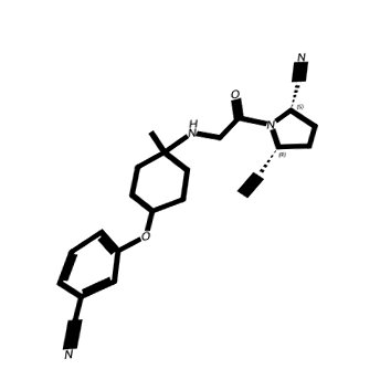 C#C[C@H]1CC[C@@H](C#N)N1C(=O)CNC1(C)CCC(Oc2cccc(C#N)c2)CC1